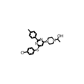 Cc1ccc(-c2nc(Sc3ccc(Cl)cc3)cc(N3CCN(C(C)O)CC3)n2)cc1